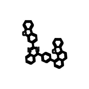 c1cc(-c2ccc(-c3nc(-c4ccc5c(c4)oc4ccccc45)nc4ccccc34)cc2)c2c(c1)ccc1c3ccccc3oc12